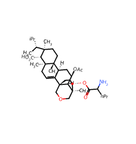 CCCC(N)C(=O)O[C@H]1[C@H](OC(C)=O)C[C@]23COC[C@@]1(C)[C@@H]2CC[C@H]1C3=CC[C@@]2(C)[C@H](C(=O)O)[C@@](C)([C@H](C)C(C)C)CC[C@]12C